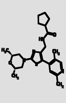 Cc1cc(-c2sc(N3C[C@@H](C)O[C@@H](C)C3)nc2CNC(=O)C2CCCC2)c(C)cn1